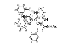 CC(=O)N[C@@H](CCc1ccccc1)C(=O)NC(CC(C)C)C(=O)N[C@@H](Cc1ccccc1)C(=O)NC(CC(C)C)C(=O)C1(C)CC1